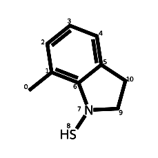 Cc1cccc2c1N(S)CC2